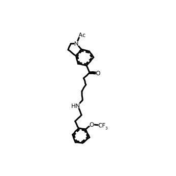 CC(=O)N1CCc2cc(C(=O)CCCCNCCc3ccccc3OC(F)(F)F)ccc21